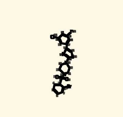 O=S(=O)(c1ccccc1Br)N1CCN(c2nc(-c3cc(F)cc(Cl)c3)cs2)CC1